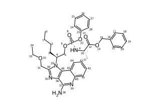 CCCC[C@@H](CO[P@](=O)(N[C@@H](C)C(=O)OCc1ccccc1)Oc1ccccc1)n1c(COCC)nc2c(N)nc3ccccc3c21